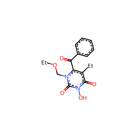 CCOCn1c(C(=O)c2ccccc2)c(CC)c(=O)n(O)c1=O